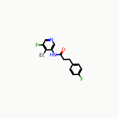 CCc1c(F)cncc1NC(=O)CCc1ccc(F)cc1